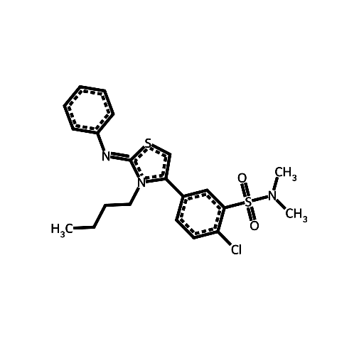 CCCCn1c(-c2ccc(Cl)c(S(=O)(=O)N(C)C)c2)csc1=Nc1ccccc1